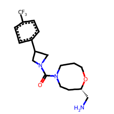 NC[C@@H]1CCN(C(=O)N2CC(c3ccc(C(F)(F)F)cc3)C2)CCCO1